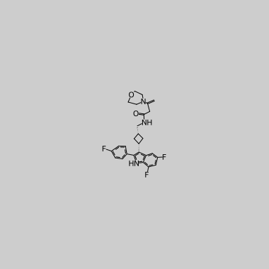 C=C(CC(=O)NC[C@H]1C[C@@H](c2c(-c3ccc(F)cc3)[nH]c3c(F)cc(F)cc32)C1)N1CCOCC1